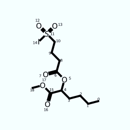 CCCCC(OC(=O)CCCS(=O)(=O)I)C(=O)OC